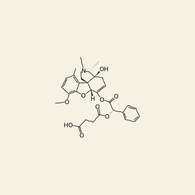 COc1ccc(C)c2c1O[C@H]1C(OC(=O)[C@@H](OC(=O)CCC(=O)O)c3ccccc3)=CC[C@@]3(O)[C@@H](C)N(C)CC[C@]213